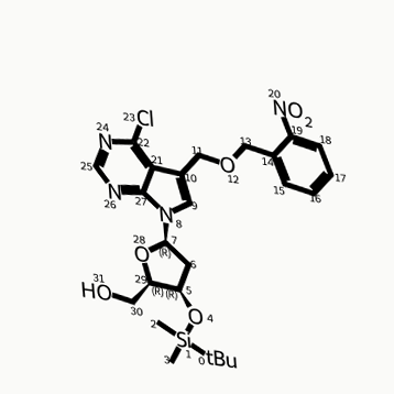 CC(C)(C)[Si](C)(C)O[C@@H]1C[C@H](n2cc(COCc3ccccc3[N+](=O)[O-])c3c(Cl)ncnc32)O[C@@H]1CO